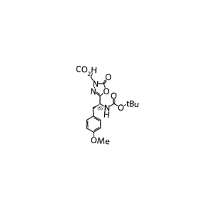 COc1ccc(C[C@H](NC(=O)OC(C)(C)C)c2nn(CC(=O)O)c(=O)o2)cc1